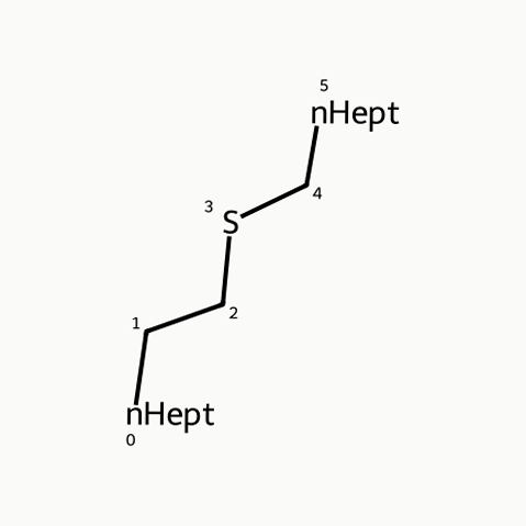 CCCCCCCCCSCCCCCCCC